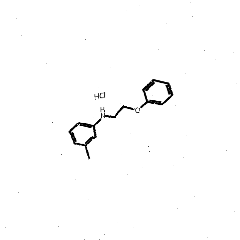 Cc1cccc(NCCOc2ccccc2)c1.Cl